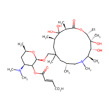 CC[C@H]1OC(=O)[C@H](C)C(O)(O)[C@H](C)CC(C)(CO[C@@H]2O[C@H](C)C[C@H](N(C)C)C2OC(=O)/C=C/C(=O)O)C[C@@H](C)CN(C)[C@H](C)[C@@H](O)[C@]1(C)O